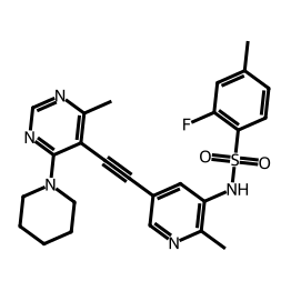 Cc1ccc(S(=O)(=O)Nc2cc(C#Cc3c(C)ncnc3N3CCCCC3)cnc2C)c(F)c1